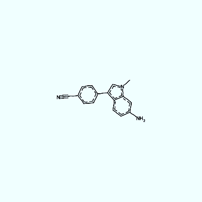 Cn1cc(-c2ccc(C#N)cc2)c2ccc(N)cc21